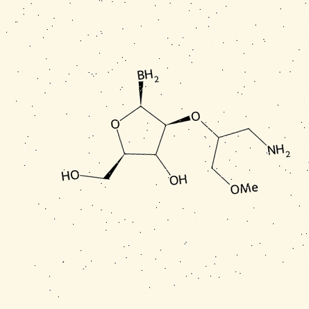 B[C@@H]1O[C@H](CO)C(O)[C@@H]1OC(CN)COC